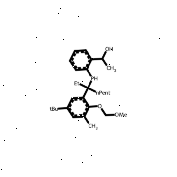 CCCCCC(CC)(Pc1ccccc1C(C)O)c1cc(C(C)(C)C)cc(C)c1OCOC